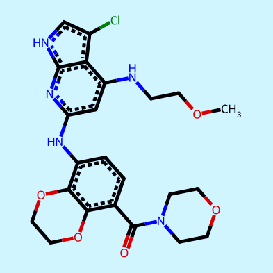 COCCNc1cc(Nc2ccc(C(=O)N3CCOCC3)c3c2OCCO3)nc2[nH]cc(Cl)c12